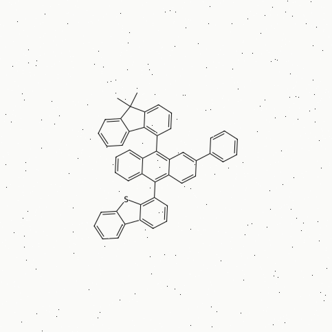 CC1(C)c2ccccc2-c2c(-c3c4ccccc4c(-c4cccc5c4sc4ccccc45)c4ccc(-c5ccccc5)cc34)cccc21